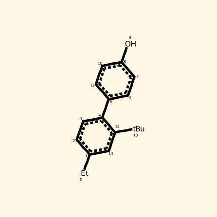 CCc1ccc(-c2ccc(O)cc2)c(C(C)(C)C)c1